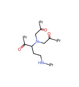 CC(C)NCCC(C(=O)C(C)C)N(CC(=O)C(C)C)CC(=O)C(C)C